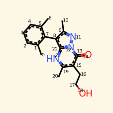 Cc1cccc(C)c1-c1c(C)nn2c(=O)c(CCO)c(C)[nH]c12